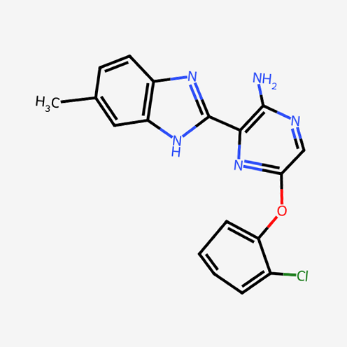 Cc1ccc2nc(-c3nc(Oc4ccccc4Cl)cnc3N)[nH]c2c1